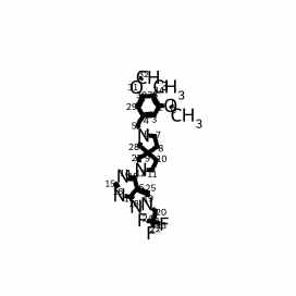 COc1cc(CN2CCC3(CCN(c4ncnc5nn(CC(F)(F)F)cc45)C3)C2)cc(OC)c1C